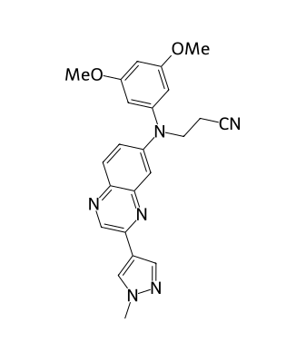 COc1cc(OC)cc(N(CCC#N)c2ccc3ncc(-c4cnn(C)c4)nc3c2)c1